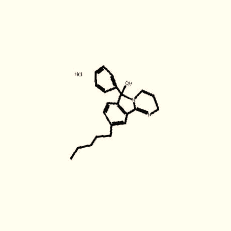 CCCCCc1ccc2c(c1)C1=NCCCN1C2(O)c1ccccc1.Cl